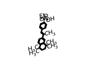 CCOP(=O)(O)c1ccc(C=C(C)c2ccc3c(c2)C(C)(C)CCC3(C)C)cc1